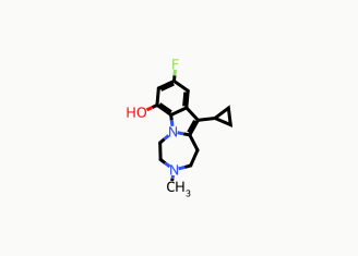 CN1CCc2c(C3CC3)c3cc(F)cc(O)c3n2CC1